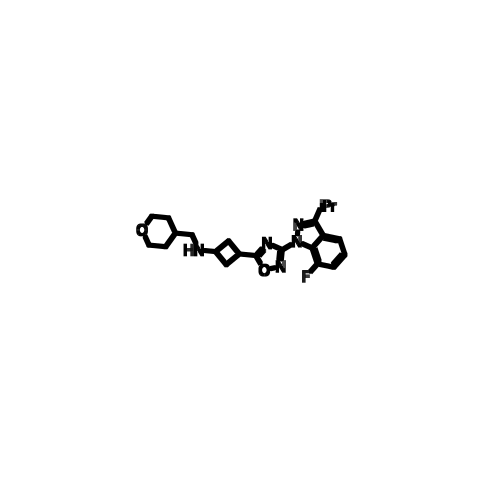 CC(C)c1nn(-c2noc(C3CC(NCC4CCOCC4)C3)n2)c2c(F)cccc12